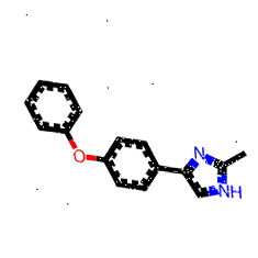 Cc1nc(-c2ccc(Oc3ccccc3)cc2)c[nH]1